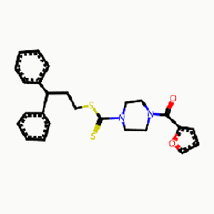 O=C(c1ccco1)N1CCN(C(=S)SCCC(c2ccccc2)c2ccccc2)CC1